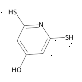 Oc1cc(S)nc(S)c1